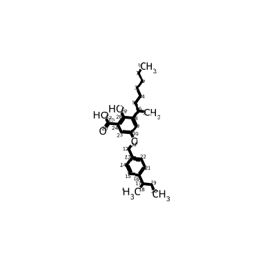 CCCCCCC(C)c1cc(OCc2ccc(C(C)CC)cc2)cc(C(=O)O)c1O